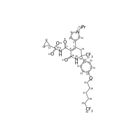 CC(C)n1ccc(C2=C(C(=O)NS(=O)(=O)C3CC3)C(=O)NC(c3ccc(OCCCCCC(F)(F)F)cc3)(C(F)(F)F)C2)c1